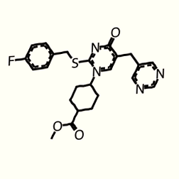 COC(=O)C1CCC(n2cc(Cc3cncnc3)c(=O)nc2SCc2ccc(F)cc2)CC1